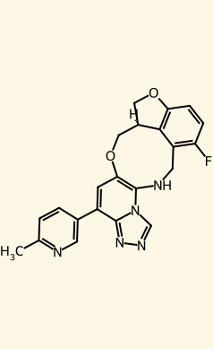 Cc1ccc(-c2cc3c(n4cnnc24)NCc2c(F)ccc4c2[C@H](CO4)CO3)cn1